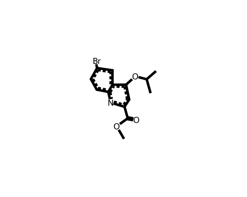 COC(=O)c1cc(OC(C)C)c2cc(Br)ccc2n1